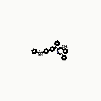 C=C1/C=C(N(c2ccccc2)c2ccc(-c3ccc(-c4nnc(-c5ccccc5)o4)cc3)cc2)\C=C/CN(c2ccccc2)c2ccccc21